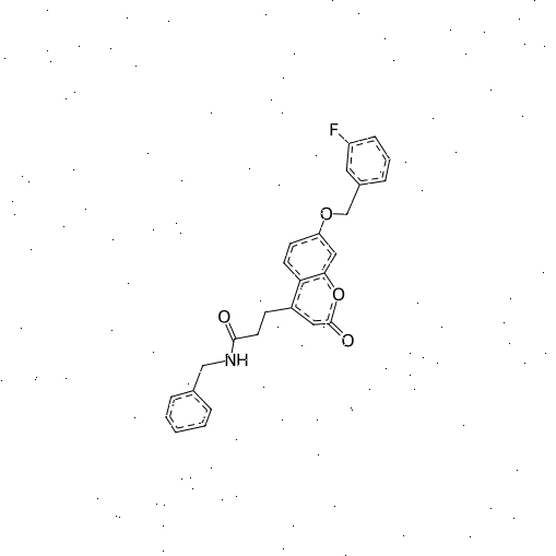 O=C(CCc1cc(=O)oc2cc(OCc3cccc(F)c3)ccc12)NCc1ccccc1